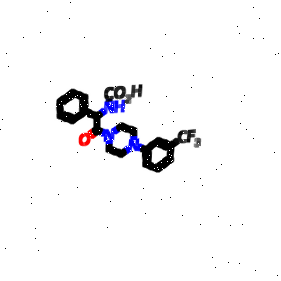 O=C(O)NC(C(=O)N1CCN(c2cccc(C(F)(F)F)c2)CC1)c1ccccc1